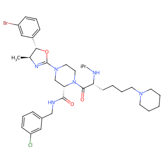 CC(C)N[C@H](CCCCN1CCCCC1)C(=O)N1CCN(C2=N[C@@H](C)[C@H](c3cccc(Br)c3)O2)C[C@H]1C(=O)NCc1cccc(Cl)c1